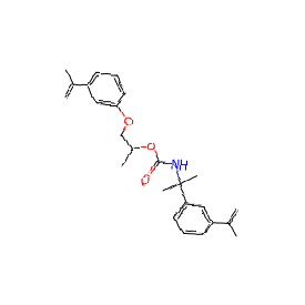 C=C(C)c1cccc(OCC(C)OC(=O)NC(C)(C)c2cccc(C(=C)C)c2)c1